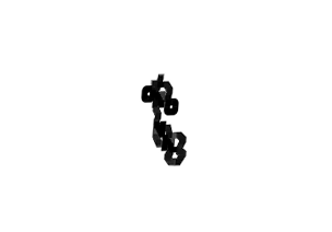 CC1(C)CCC(=O)N(CCCN2CCN3c4ccccc4CCC3C2)C1=O